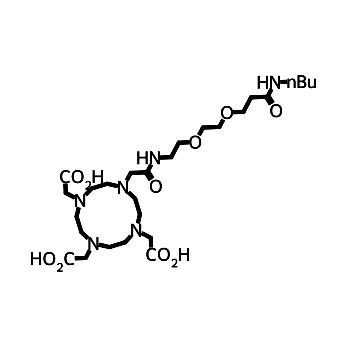 CCCCNC(=O)CCOCCOCCNC(=O)CN1CCN(CC(=O)O)CCN(CC(=O)O)CCN(CC(=O)O)CC1